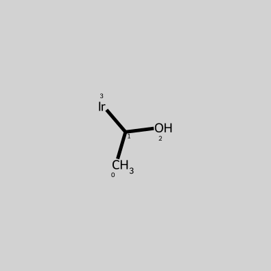 C[CH](O)[Ir]